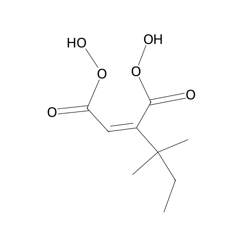 CCC(C)(C)/C(=C/C(=O)OO)C(=O)OO